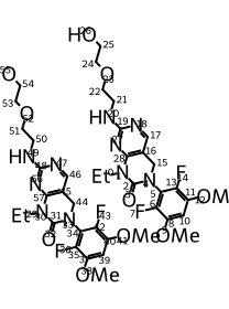 CCN1C(=O)N(c2c(F)c(OC)cc(OC)c2F)Cc2cnc(NCCOCCO)nc21.CCN1C(=O)N(c2c(F)c(OC)cc(OC)c2F)Cc2cnc(NCCOCCO)nc21